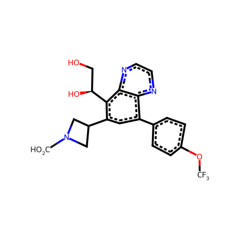 O=C(O)N1CC(c2cc(-c3ccc(OC(F)(F)F)cc3)c3nccnc3c2[C@@H](O)CO)C1